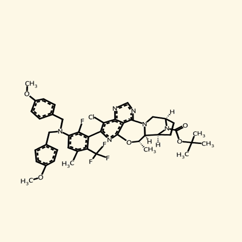 COc1ccc(CN(Cc2ccc(OC)cc2)c2cc(C)c(C(F)(F)F)c(-c3nc4c5c(ncnc5c3Cl)N3C[C@H]5CC[C@@H]([C@H]3[C@H](C)O4)N5C(=O)OC(C)(C)C)c2F)cc1